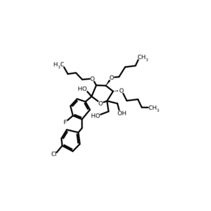 CCCCOC1[C@@H](OCCCC)[C@H](OCCCC)C(CO)(CO)OC1(O)c1ccc(F)c(Cc2ccc(Cl)cc2)c1